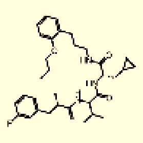 C=C(N[C@@H](C(=O)N[C@@H](CC1CC1)C(=O)NCCCc1ccccc1OCCC)C(C)C)[C@H](C)Cc1cccc(F)c1